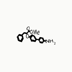 COC(=O)C(Cc1ccccc1)Oc1ccc(-c2ccc(N)cc2)cc1